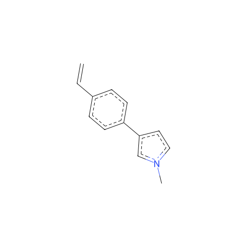 C=Cc1ccc(-c2ccn(C)c2)cc1